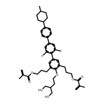 C=C(C)C(=O)OCCCc1cc(-c2c(F)cc(-c3ccc(C4CCC(C)CC4)cc3)cc2F)cc(CCCOC(=O)C(=C)C)c1OCCC(CO)CO